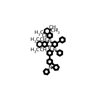 CC1(C)CCC(C)(C)c2cc(N3c4cc5c(cc4B4c6ccc(-c7ccc8c(c7)c7ccccc7n8-c7ccccc7)cc6N(c6ccccc6)c6cc(-c7ccccc7)cc3c64)C(C)(C)CCC5(C)C)ccc21